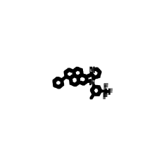 Cc1cc(-n2c3cccnc3c3c4ccc5ccc(-c6ccccc6)c6ccc(cc32)c4c56)cc(C(F)(F)F)c1